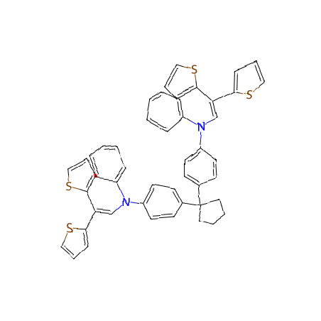 C(=C(c1cccs1)c1cccs1)N(c1ccccc1)c1ccc(C2(c3ccc(N(C=C(c4cccs4)c4cccs4)c4ccccc4)cc3)CCCC2)cc1